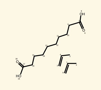 C=CC.C=CC.O=C(O)CCCCCCCCC(=O)O